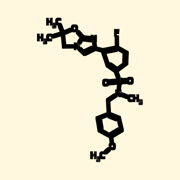 COc1ccc(CN(C)S(=O)(=O)c2ccc(F)c(-c3cn4c(n3)OC(C)(C)C4)c2)cc1